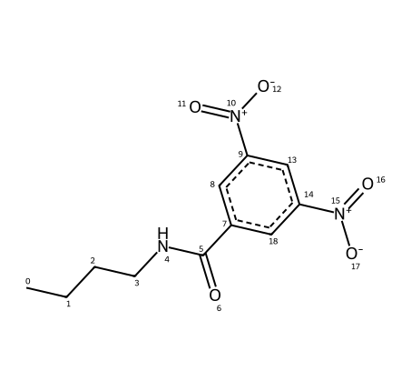 CCCCNC(=O)c1cc([N+](=O)[O-])cc([N+](=O)[O-])c1